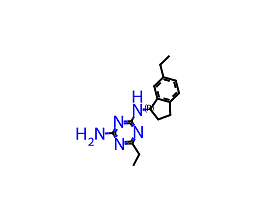 CCc1ccc2c(c1)[C@H](Nc1nc(N)nc(CC)n1)CC2